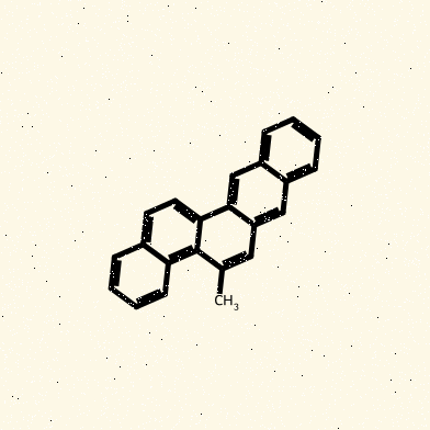 Cc1cc2cc3ccccc3cc2c2ccc3ccccc3c12